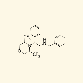 FC(F)(F)C1COCC(C(F)(F)F)N1C(CNCc1ccccc1)c1ccccc1